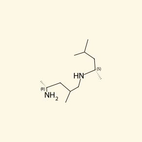 CC(C)C[C@H](C)NCC(C)C[C@@H](C)N